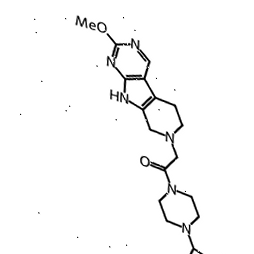 COc1ncc2c3c([nH]c2n1)CN(CC(=O)N1CCN(C2CCC2)CC1)CC3